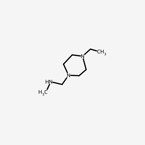 CCN1CCN(CNC)CC1